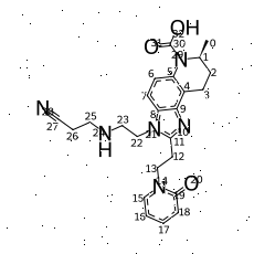 C[C@H]1CCc2c(ccc3c2nc(CCn2ccccc2=O)n3CCNCCC#N)N1C(=O)O